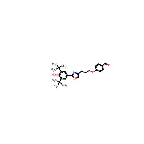 CC(C)(C)c1cc(-c2nc(CCCOc3ccc(C=O)cc3)co2)cc(C(C)(C)C)c1O